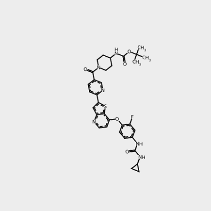 CC(C)(C)OC(=O)NC1CCN(C(=O)c2ccc(-c3cc4nccc(Oc5ccc(NC(=O)NC6CC6)cc5F)c4s3)nc2)CC1